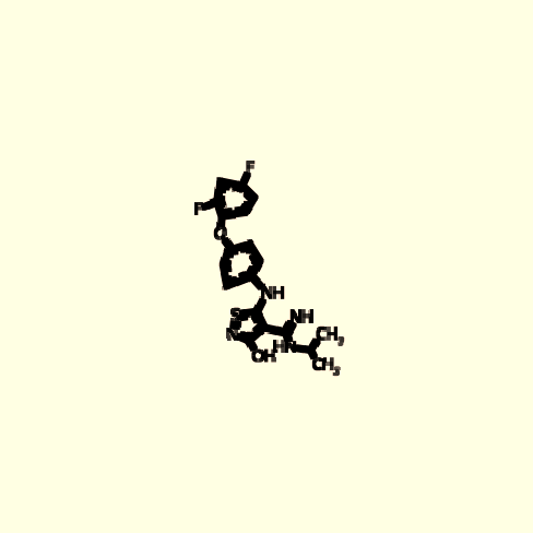 CC(C)NC(=N)c1c(O)nsc1Nc1ccc(Oc2ccc(F)cc2F)cc1